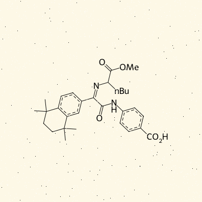 CCCCC(N=C(C(=O)Nc1ccc(C(=O)O)cc1)c1ccc2c(c1)C(C)(C)CCC2(C)C)C(=O)OC